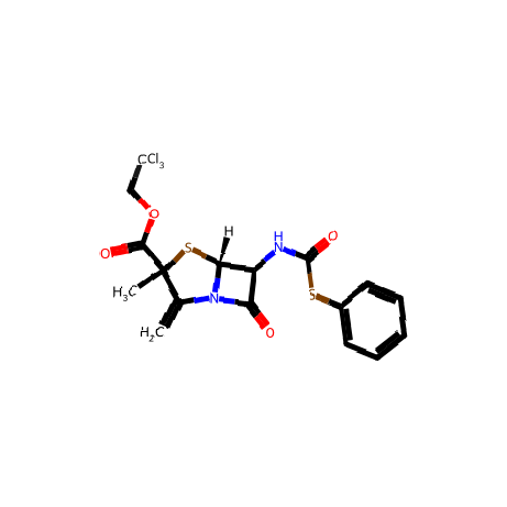 C=C1N2C(=O)C(NC(=O)Sc3ccccc3)[C@H]2SC1(C)C(=O)OCC(Cl)(Cl)Cl